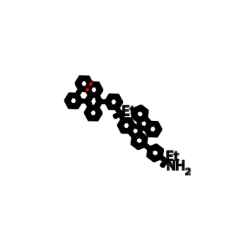 CCC(C)(N)c1ccc(-c2ccc3c(c2)C2(c4ccccc4-c4ccccc42)c2cc(C(C)(CC)c4cccc(-c5c6ccccc6c(-c6ccccc6-c6ccccc6)c6ccccc56)c4)ccc2-3)cc1